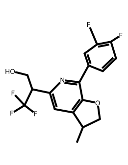 CC1COc2c1cc(C(CO)C(F)(F)F)nc2-c1ccc(F)c(F)c1